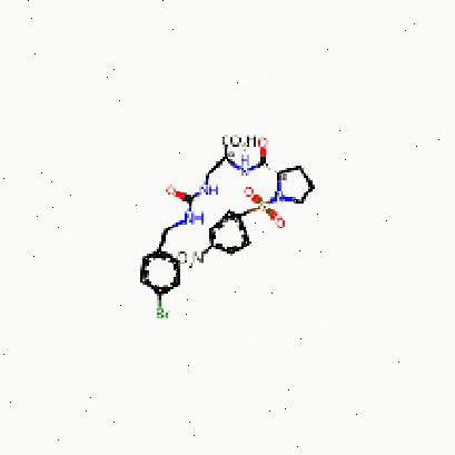 O=C(NCc1ccc(Br)cc1)NC[C@H](NC(=O)[C@@H]1CCCN1S(=O)(=O)c1ccc([N+](=O)[O-])cc1)C(=O)O